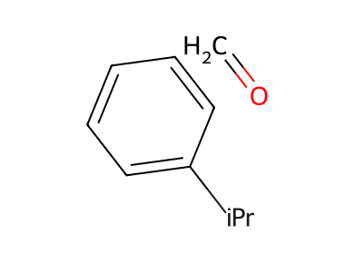 C=O.CC(C)c1ccccc1